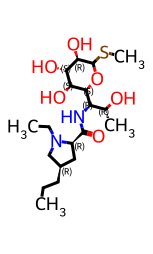 CCC[C@@H]1C[C@H](C(=O)N[C@@H]([C@@H]2OC(SC)[C@H](O)[C@@H](O)[C@@H]2O)[C@@H](C)O)N(CC)C1